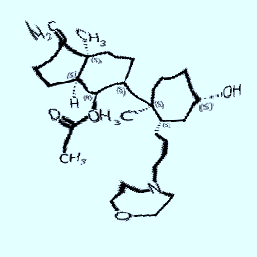 C=C1CC[C@@H]2[C@H](OC(C)=O)[C@H]([C@@]3(C)CC[C@H](O)C[C@@H]3CCN3CCOCC3)CC[C@]12C